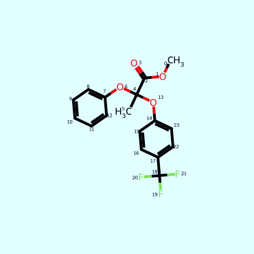 COC(=O)C(C)(Oc1ccccc1)Oc1ccc(C(F)(F)F)cc1